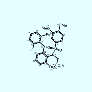 COc1ccc(S(=O)(=O)N(CC(=O)O)c2c(Cc3c(F)cccc3F)cccc2OC)cc1OC